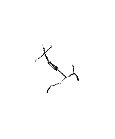 CSSC(C#CC(F)(F)F)C(C)C